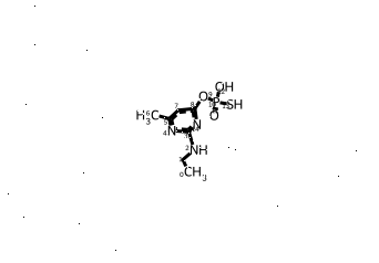 CCNc1nc(C)cc(OP(=O)(O)S)n1